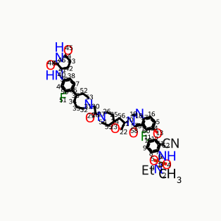 CCN(C)S(=O)(=O)Nc1ccc(F)c(Oc2ccc3ncn([C@H]4COC5(CCN(C(=O)CN6CCCC(c7ccc(NC8CCC(=O)NC8=O)cc7F)CC6)CC5)C4)c(=O)c3c2)c1C#N